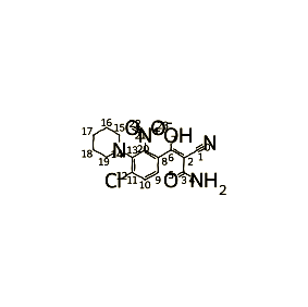 N#CC(C(N)=O)=C(O)c1ccc(Cl)c(N2CCCCC2)c1[N+](=O)[O-]